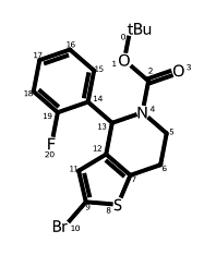 CC(C)(C)OC(=O)N1CCc2sc(Br)cc2C1c1ccccc1F